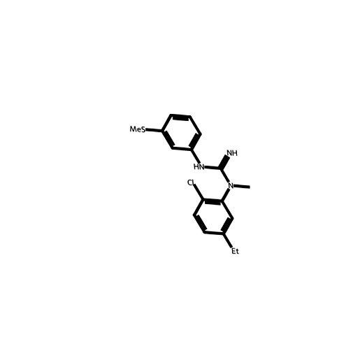 CCc1ccc(Cl)c(N(C)C(=N)Nc2cccc(SC)c2)c1